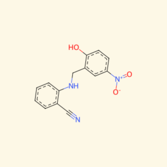 N#Cc1ccccc1NCc1cc([N+](=O)[O-])ccc1O